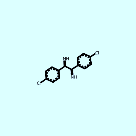 N=C(C(=N)c1ccc(Cl)cc1)c1ccc(Cl)cc1